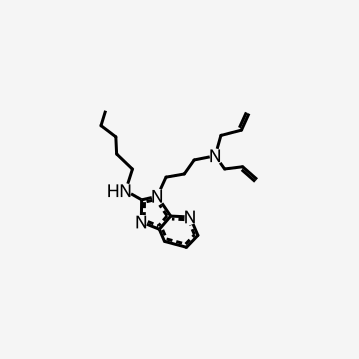 C=CCN(CC=C)CCCn1c(NCCCCC)nc2cccnc21